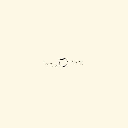 CCC[SiH2]C1C=CC([SiH2]CCC)C=C1